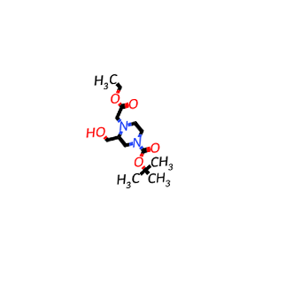 CCOC(=O)CN1CCN(C(=O)OC(C)(C)C)CC1CO